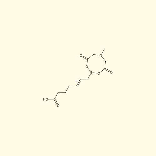 CN1CC(=O)OB(C/C=C/CCCC(=O)O)OC(=O)C1